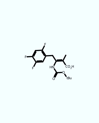 CC(C(=O)O)=C(Cc1cc(F)c(F)cc1F)NC(=O)OC(C)(C)C